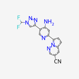 N#Cc1cnn2c(-c3cc(N)c(-c4cn(C(F)F)nn4)cn3)ccc2c1